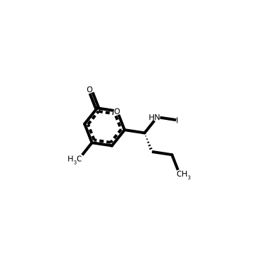 CCC[C@@H](NI)c1cc(C)cc(=O)o1